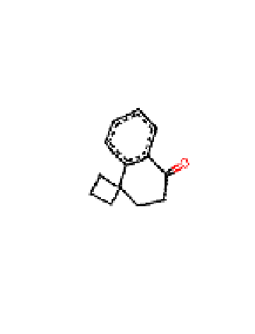 O=C1CCC2(CCC2)c2ccccc21